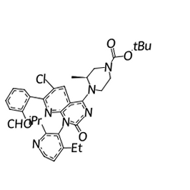 CCc1ccnc(C(C)C)c1-n1c(=O)nc(N2CCN(C(=O)OC(C)(C)C)C[C@@H]2C)c2cc(Cl)c(-c3ccccc3C=O)nc21